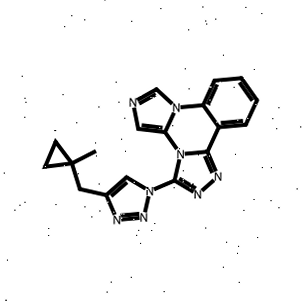 CC1(Cc2cn(-c3nnc4c5ccccc5n5cncc5n34)nn2)CC1